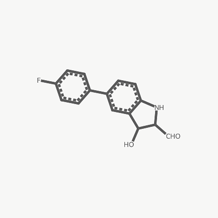 O=CC1Nc2ccc(-c3ccc(F)cc3)cc2C1O